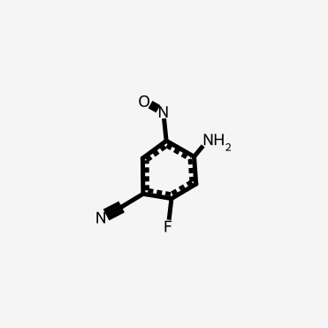 N#Cc1cc(N=O)c(N)cc1F